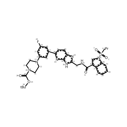 CC(C)S(=O)(=O)n1cc(C(=O)NCc2nc3ccc(-c4cc(F)cc(N5CCN(C(=O)OC(C)(C)C)CC5)c4)nc3[nH]2)c2ccccc21